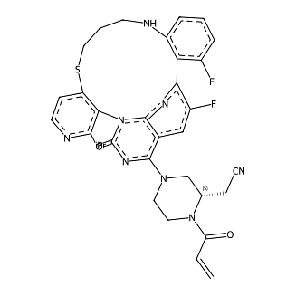 C=CC(=O)N1CCN(c2nc(=O)n3c4nc(c(F)cc24)-c2c(F)cccc2NCCCSc2ccnc(C(C)C)c2-3)C[C@@H]1CC#N